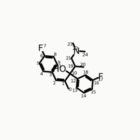 CC(=Cc1ccc(F)cc1)C(O)(c1cccc(F)c1)C(C)CN(C)C